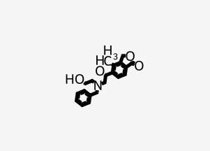 Cc1c(C(O)CN(CCO)Cc2ccccc2)ccc2c1COC2=O